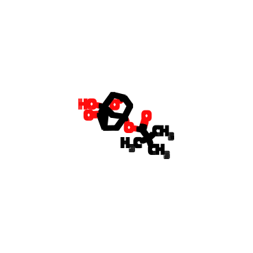 CC(C)(C)C(=O)OC12CC3CC(O)(CC(C1)C(=O)O3)C2